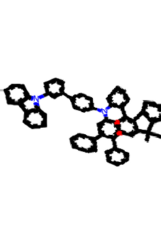 CC1(C)c2ccccc2-c2c(-c3ccccc3N(c3ccc(-c4cccc(-n5c6ccccc6c6ccccc65)c4)cc3)c3ccc(-c4ccccc4)c(-c4ccccc4)c3)cccc21